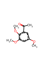 COc1cc(OC)c(OC)c(C(C)=O)c1